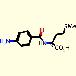 CSCC[C@H](NC(=O)c1ccc(N)cc1)C(=O)O